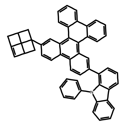 C1=C2CC3CC4(c5ccc6c7ccc(-c8cccc9c%10ccccc%10n(-c%10ccccc%10)c89)cc7c7c8ccccc8c8ccccc8c7c6c5)CC1C234